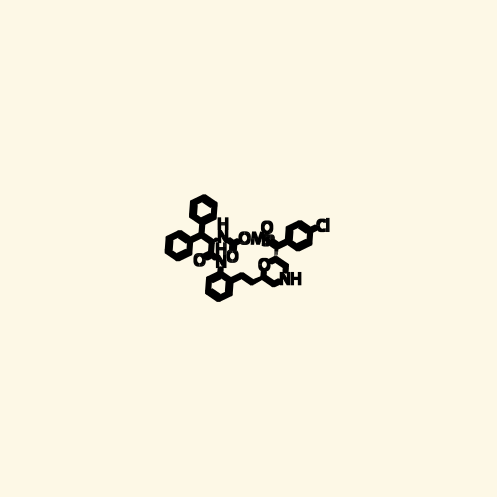 COC(=O)N[C@H](C(=O)Nc1ccccc1CC[C@@H]1CNC[C@@H](C(=S=O)c2ccc(Cl)cc2)O1)C(c1ccccc1)c1ccccc1